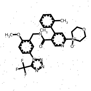 COc1ccc(-n2nnnc2C(F)(F)F)cc1CN(C)C(=O)c1cnc([N+]2([O-])CCOCC2)cc1-c1ccccc1C